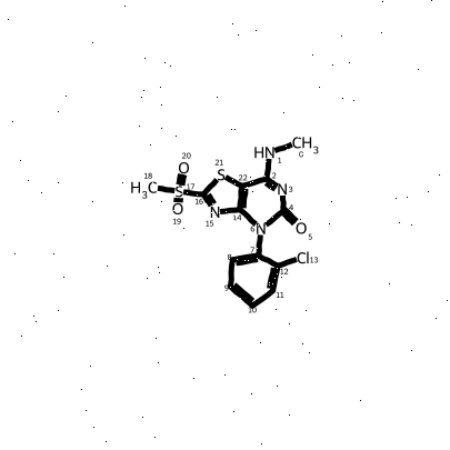 CNc1nc(=O)n(-c2ccccc2Cl)c2nc(S(C)(=O)=O)sc12